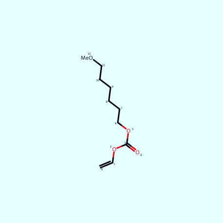 C=COC(=O)OCCCCCCOC